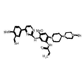 C=CC(=O)Nc1cc(Nc2nccc(-c3ccc(NC)c(C=N)c3)n2)c(OC)cc1N1CCC(N2CCN(C(C)C)CC2)CC1